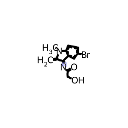 C=C1/C(=N/C(=O)CO)c2cc(Br)ccc2N1C